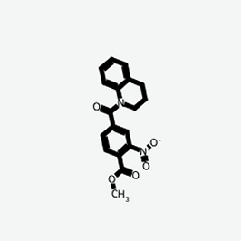 COC(=O)c1ccc(C(=O)N2CCCc3ccccc32)cc1[N+](=O)[O-]